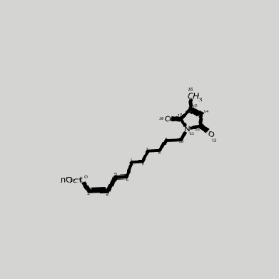 CCCCCCCC/C=C\CCCCCCCCN1C(=O)C=C(C)C1=O